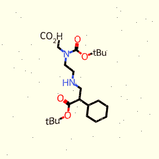 CC(C)(C)OC(=O)C(CNCCN(CC(=O)O)C(=O)OC(C)(C)C)C1CCCCC1